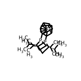 CC(C)[C@@H]1C[C@@H](C(C)C)P1[C]12[CH]3[CH]4[CH]5[CH]1[Fe]45321678[CH]2[CH]1[CH]6[C]7(P1[C@H](C(C)C)C[C@H]1C(C)C)[CH]28